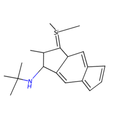 CC1C(=[Si](C)C)C2C=C3C=CC=C3C=C2C1NC(C)(C)C